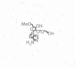 C#CCOCOC1C(O)C(COC)OC1n1cnc2c(N)ncnc21